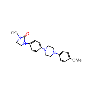 CCCN1CCN(c2ccc(N3CCN(c4ccc(OC)cc4)CC3)cc2)C1=O